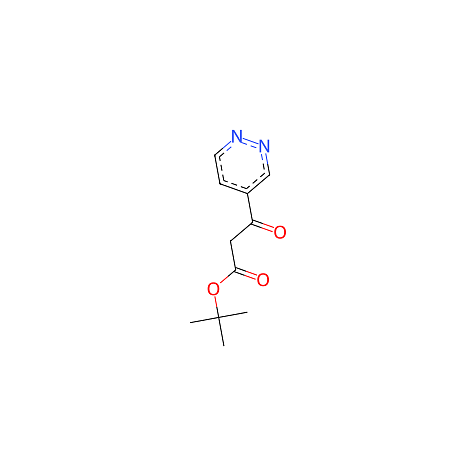 CC(C)(C)OC(=O)CC(=O)c1ccnnc1